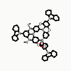 CSN1c2cc3c(cc2B2c4cc5c(cc4N(SC)c4cc(-n6c7ccccc7c7ccccc76)cc1c42)Oc1cc(-n2c4ccccc4c4ccccc42)cc2c1B5c1ccccc1O2)B1c2ccccc2Oc2cc(-n4c5ccccc5c5ccccc54)cc(c21)O3